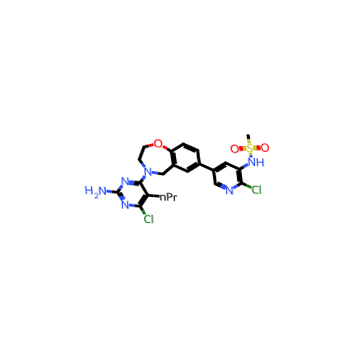 CCCc1c(Cl)nc(N)nc1N1CCOc2ccc(-c3cnc(Cl)c(NS(C)(=O)=O)c3)cc2C1